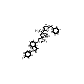 CC(C)(CC(O)(CNc1cccc2c1ccn2-c1ccc(F)cc1)C(F)(F)F)C1=COC(Cc2ccccc2)O1